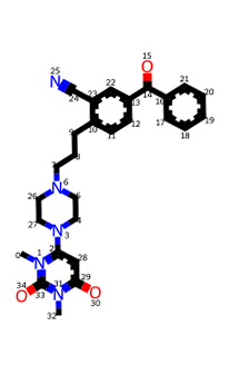 Cn1c(N2CCN(CCCc3ccc(C(=O)c4ccccc4)cc3C#N)CC2)cc(=O)n(C)c1=O